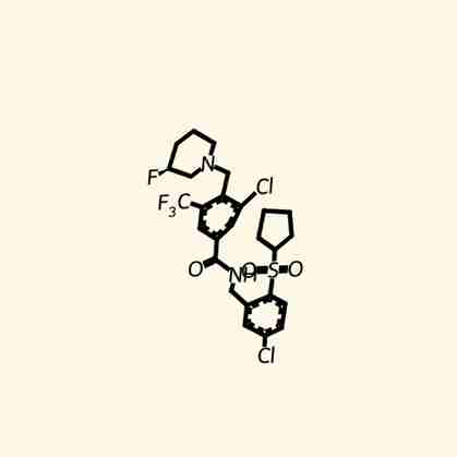 O=C(NCc1cc(Cl)ccc1S(=O)(=O)C1CCCC1)c1cc(Cl)c(CN2CCC[C@H](F)C2)c(C(F)(F)F)c1